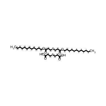 CCCCCCCCCCCCOC(=O)CCSCCC(=O)OCCCCCCCCCCCC.O=C(O)CCSCCC(=O)O